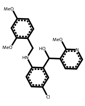 COc1ccc(CNc2ccc(Cl)cc2C(O)c2cccnc2OC)c(OC)c1